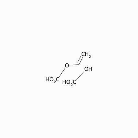 C=COC(=O)O.O=C(O)O